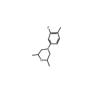 Cc1ccc(N2CC(C)OC(C)C2)cc1F